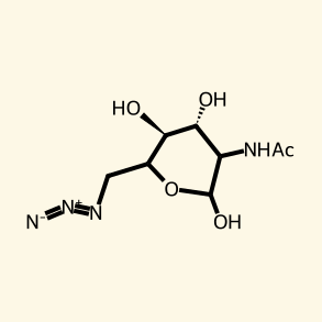 CC(=O)NC1C(O)OC(CN=[N+]=[N-])[C@@H](O)[C@@H]1O